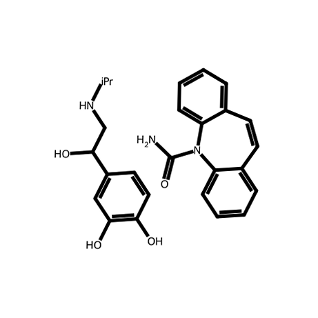 CC(C)NCC(O)c1ccc(O)c(O)c1.NC(=O)N1c2ccccc2C=Cc2ccccc21